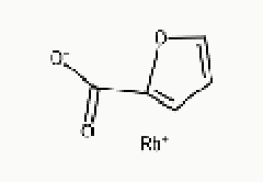 O=C([O-])c1ccco1.[Rb+]